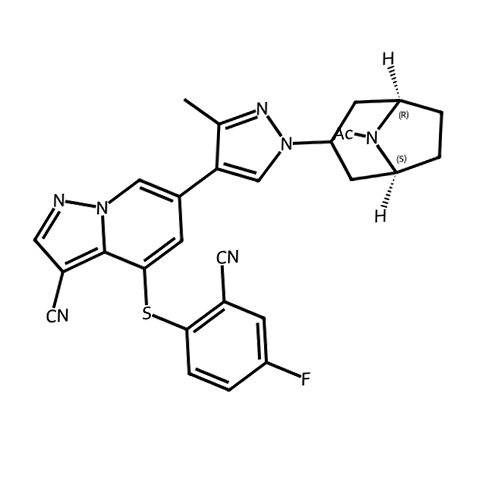 CC(=O)N1[C@@H]2CC[C@H]1CC(n1cc(-c3cc(Sc4ccc(F)cc4C#N)c4c(C#N)cnn4c3)c(C)n1)C2